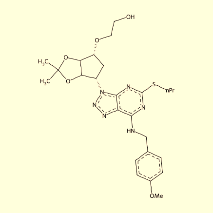 CCCSc1nc(NCc2ccc(OC)cc2)c2nnn([C@H]3C[C@@H](OCCO)C4OC(C)(C)OC43)c2n1